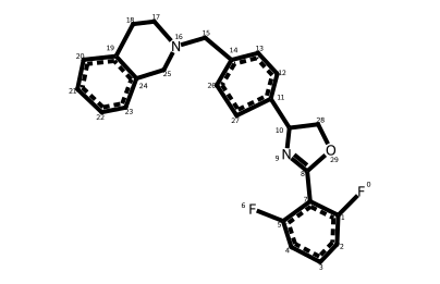 Fc1cccc(F)c1C1=NC(c2ccc(CN3CCc4ccccc4C3)cc2)CO1